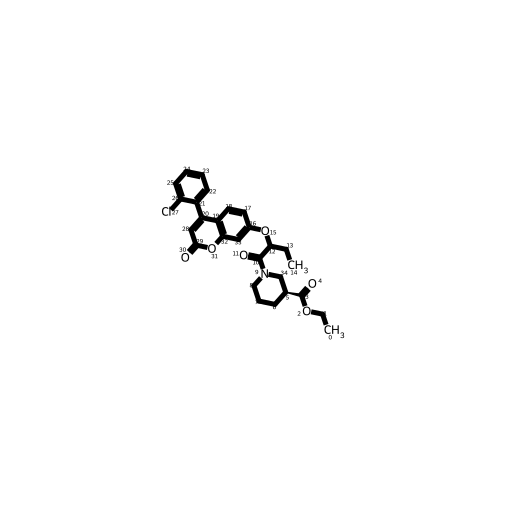 CCOC(=O)[C@H]1CCCN(C(=O)C(CC)Oc2ccc3c(-c4ccccc4Cl)cc(=O)oc3c2)C1